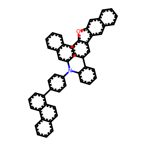 c1ccc(N(c2ccc(-c3cccc4c3ccc3ccccc34)cc2)c2ccc3ccccc3c2)c(-c2ccc3oc4cc5ccccc5cc4c3c2)c1